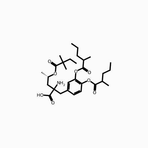 CCCC(C)C(=O)Oc1ccc(CC(N)(C[C@H](C)OC(=O)C(C)(C)CC)C(=O)O)cc1OC(=O)C(C)CCC